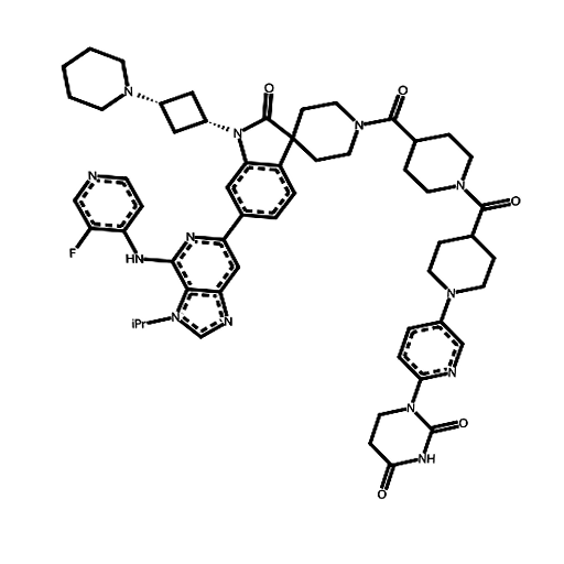 CC(C)n1cnc2cc(-c3ccc4c(c3)N([C@H]3C[C@@H](N5CCCCC5)C3)C(=O)C43CCN(C(=O)C4CCN(C(=O)C5CCN(c6ccc(N7CCC(=O)NC7=O)nc6)CC5)CC4)CC3)nc(Nc3ccncc3F)c21